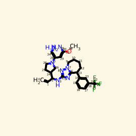 C=CC(Nc1nc2n(n1)CCCCC2c1cccc(C(F)(F)F)c1)C1CCN(C(/C=C(\N)OC)=C/N)C1